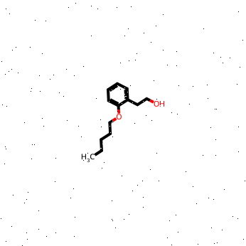 CCCCCOc1ccccc1CCO